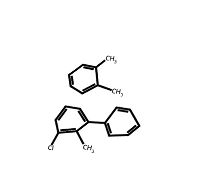 Cc1c(Cl)cccc1-c1ccccc1.Cc1ccccc1C